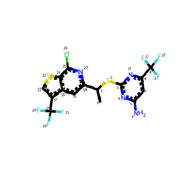 CC(Sc1nc(N)cc(C(F)(F)F)n1)c1cc2c(C(F)(F)F)csc2c(Cl)n1